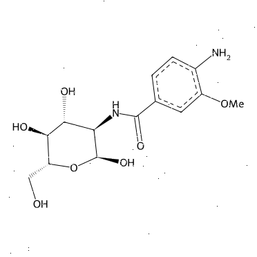 COc1cc(C(=O)N[C@@H]2[C@@H](O)[C@H](O)[C@@H](CO)O[C@@H]2O)ccc1N